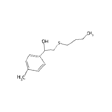 CCCCSCC(O)c1ccc(C)cc1